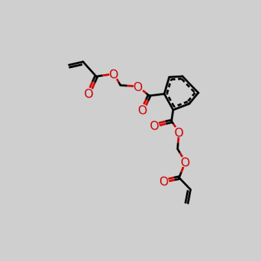 C=CC(=O)OCOC(=O)c1ccccc1C(=O)OCOC(=O)C=C